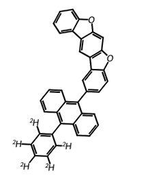 [2H]c1c([2H])c([2H])c(-c2c3ccccc3c(-c3ccc4oc5cc6oc7ccccc7c6cc5c4c3)c3ccccc23)c([2H])c1[2H]